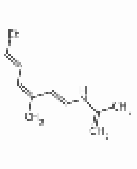 C=C(C)N/C=C/C(C)=C\C=C\CC